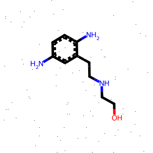 Nc1ccc(N)c(CCNCCO)c1